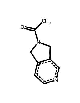 CC(=O)N1Cc2ccncc2C1